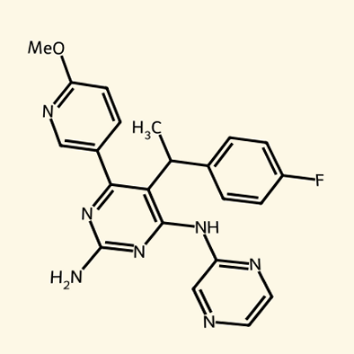 COc1ccc(-c2nc(N)nc(Nc3cnccn3)c2C(C)c2ccc(F)cc2)cn1